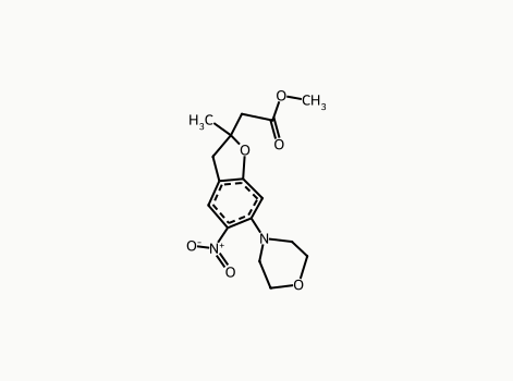 COC(=O)CC1(C)Cc2cc([N+](=O)[O-])c(N3CCOCC3)cc2O1